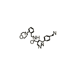 N#Cc1ccc(-c2cc(C(=O)NCc3ccccc3N3CCOCC3)cnn2)cc1